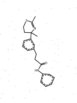 CC1=NC(C)(c2cccc(CCC(=O)Nc3ccccc3)c2)CCS1